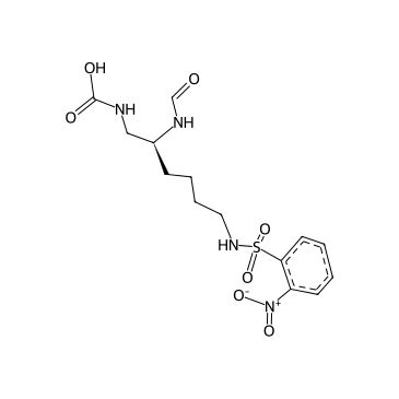 O=CN[C@@H](CCCCNS(=O)(=O)c1ccccc1[N+](=O)[O-])CNC(=O)O